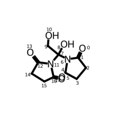 O=C1CCC(=O)N1C(O)(CO)N1C(=O)CCC1=O